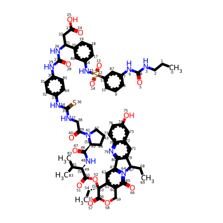 CCCNC(=O)Nc1cccc(S(=O)(=O)Nc2cccc(C(CC(=O)O)NC(=O)Nc3ccc(NC(=S)NCC(=O)N4CCC[C@H]4C(=O)N[C@H](C(=O)O[C@]4(CC)C(=O)OCc5c4cc4n(c5=O)C(CC)c5cc6cc(O)ccc6nc5-4)C(C)C)cc3)c2)c1